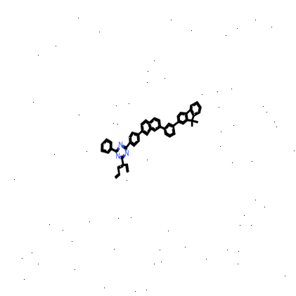 C=C/C=C(\C=C)c1nc(-c2ccccc2)nc(-c2ccc(-c3ccc4ccc(-c5cccc(-c6ccc7c(c6)C(C)(C)c6ccccc6-7)c5)cc4c3)cc2)n1